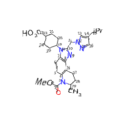 COC(=O)N1c2ccc3c(nc(Cn4cc(C(C)C)cn4)n3C3CCC(C(=O)O)CC3)c2CCC1C